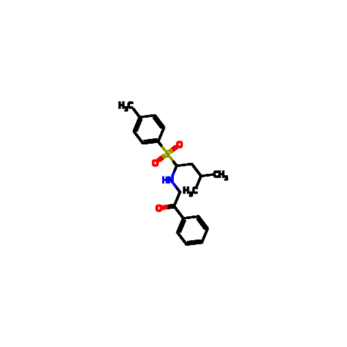 Cc1ccc(S(=O)(=O)C(CC(C)C)NCC(=O)c2ccccc2)cc1